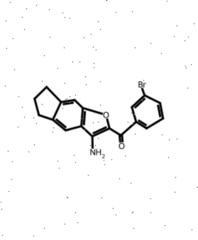 Nc1c(C(=O)c2cccc(Br)c2)oc2cc3c(cc12)CCC3